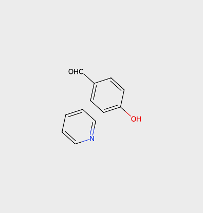 O=Cc1ccc(O)cc1.c1ccncc1